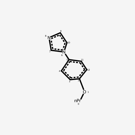 CCCOc1ccc(-n2[c]ncc2)cc1